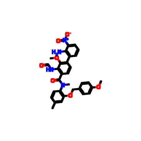 COc1ccc(COc2cc(C)ccc2N(C)C(=O)c2ccc(-c3cccc([N+](=O)[O-])c3N)c(OC)c2NC=O)cc1